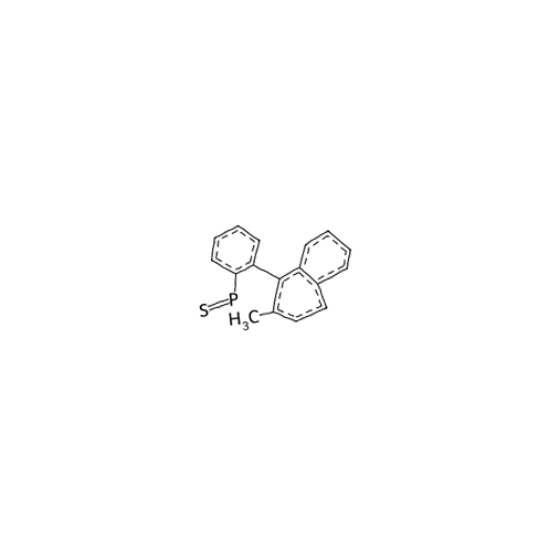 Cc1ccc2ccccc2c1-c1ccccc1P=S